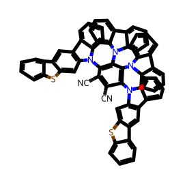 N#Cc1c(C#N)c(-n2c3ccccc3c3cc4c(cc32)sc2ccccc24)c(-n2c3ccccc3c3ccccc32)c(-n2c3ccccc3c3ccccc32)c1-n1c2ccccc2c2cc3c(cc21)sc1ccccc13